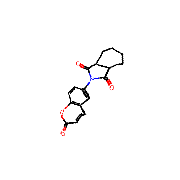 O=C1C2CCCCC2C(=O)N1c1ccc2oc(=O)ccc2c1